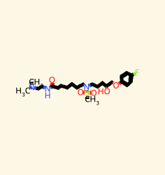 CN(C)CCNC(=O)CCCCCCN(CCCC(O)COc1ccc(F)cc1)S(C)(=O)=O